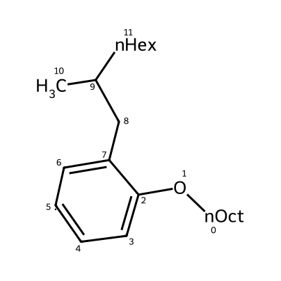 CCCCCCCCOc1cc[c]cc1CC(C)CCCCCC